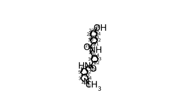 CN1CCc2ccc(NC(=O)c3cccc(CNC(=O)c4ccc5cc(O)ccc5c4)c3)cc2C1